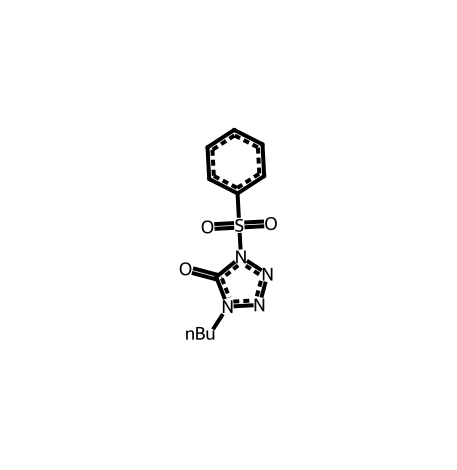 CCCCn1nnn(S(=O)(=O)c2ccccc2)c1=O